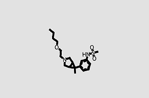 CCCCOCCN1CC2C(C1)C2(C)c1cccc(NS(C)(=O)=O)c1